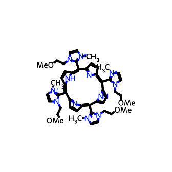 COCCn1cc[n+](C)c1-c1c2nc(c(-c3n(CCOC)cc[n+]3C)c3ccc([nH]3)c(-c3n(CCOC)cc[n+]3C)c3nc(c(-c4n(CCOC)cc[n+]4C)c4ccc1[nH]4)C=C3)C=C2